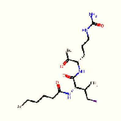 CC(=O)CCCCC(=O)N[C@H](C(=O)N[C@@H](CCCNC(N)=O)C(=O)C(C)(C)C)C(C)CI